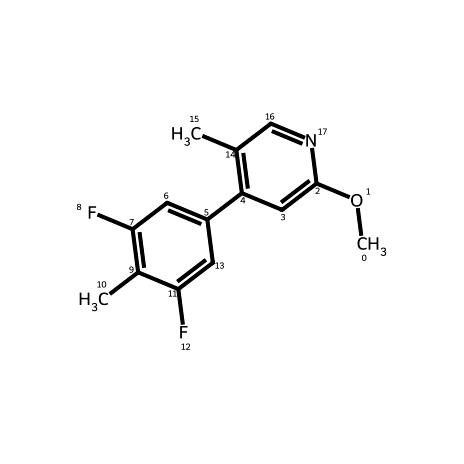 COc1cc(-c2cc(F)c(C)c(F)c2)c(C)cn1